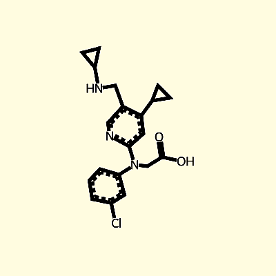 O=C(O)CN(c1cccc(Cl)c1)c1cc(C2CC2)c(CNC2CC2)cn1